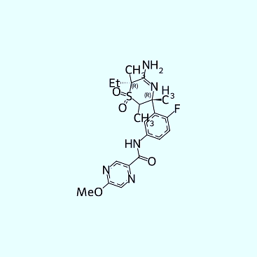 CC[C@]1(C)C(N)=N[C@](C)(c2cc(NC(=O)c3cnc(OC)cn3)ccc2F)C(C)S1(=O)=O